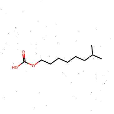 CC(C)CCCCCCOC(=O)O